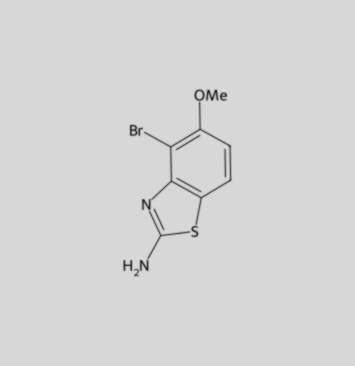 COc1ccc2sc(N)nc2c1Br